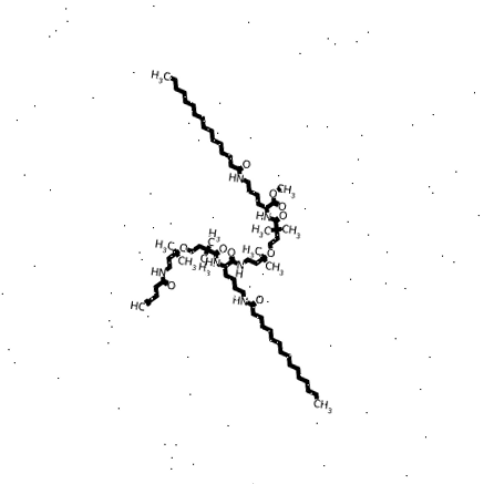 C#CCCC(=O)NCCC(C)(C)OCCC(C)(C)C(=O)NC(CCCCNC(=O)CCCCCCCCCCCCCCC)C(=O)NCCC(C)(C)OCCC(C)(C)C(=O)NC(CCCCNC(=O)CCCCCCCCCCCCCCC)C(=O)OC